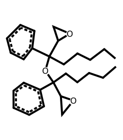 CCCCCC(OC(CCCCC)(c1ccccc1)C1CO1)(c1ccccc1)C1CO1